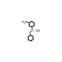 Cl.Nc1cccc(OCc2ccccc2)c1